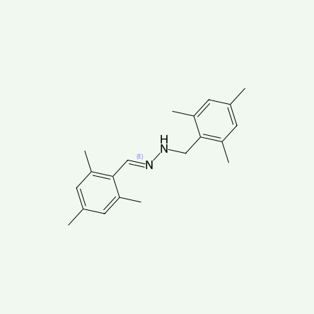 Cc1cc(C)c(/C=N/NCc2c(C)cc(C)cc2C)c(C)c1